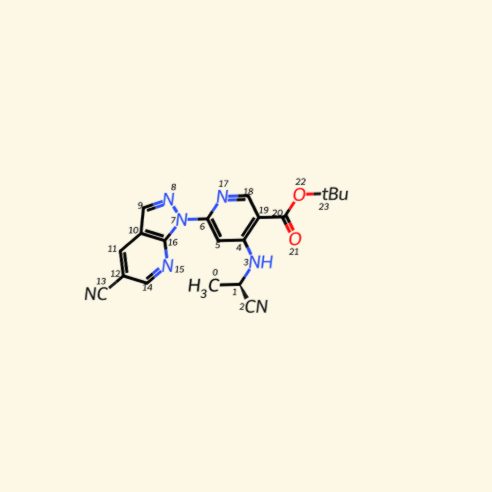 C[C@H](C#N)Nc1cc(-n2ncc3cc(C#N)cnc32)ncc1C(=O)OC(C)(C)C